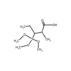 CCC(N(C)C(=O)O)[Si](OC)(OC)OC